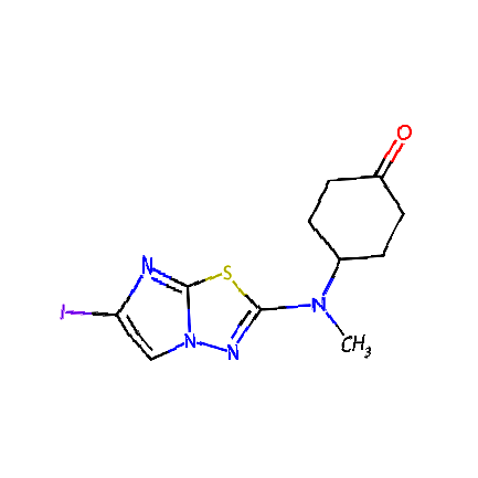 CN(c1nn2cc(I)nc2s1)C1CCC(=O)CC1